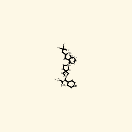 CC(C)[C@H](C1CCNCC1)N1CC2(CCN(c3ncnc4sc(CC(F)(F)F)cc34)C2)C1